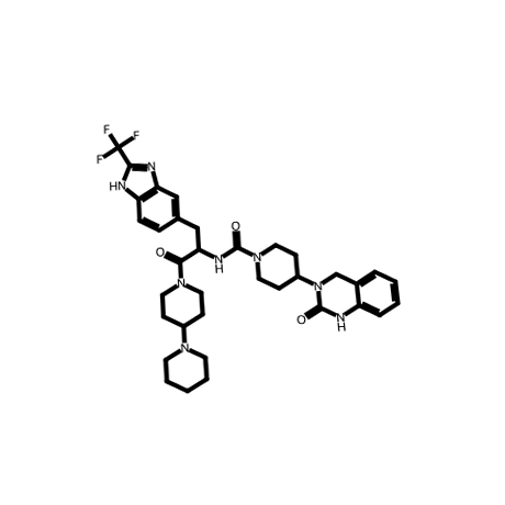 O=C(NC(Cc1ccc2[nH]c(C(F)(F)F)nc2c1)C(=O)N1CCC(N2CCCCC2)CC1)N1CCC(N2Cc3ccccc3NC2=O)CC1